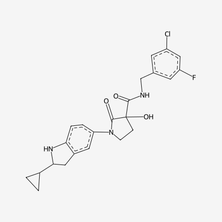 O=C(NCc1cc(F)cc(Cl)c1)C1(O)CCN(c2ccc3c(c2)CC(C2CC2)N3)C1=O